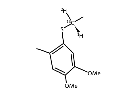 [1H][13C@@]([2H])(C)Sc1cc(OC)c(OC)cc1C